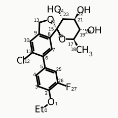 CCOc1ccc(-c2cc3c(cc2Cl)CO[C@]32O[C@H](C)[C@@H](O)[C@H](O)[C@H]2O)cc1F